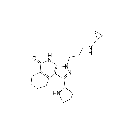 O=c1[nH]c2c(c(C3CCCN3)nn2CCCNC2CC2)c2c1CCCC2